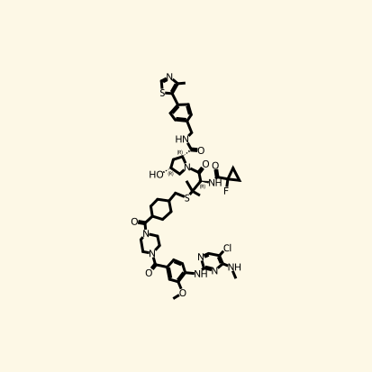 CNc1nc(Nc2ccc(C(=O)N3CCN(C(=O)C4CCC(CSC(C)(C)[C@H](NC(=O)C5(F)CC5)C(=O)N5C[C@H](O)C[C@@H]5C(=O)NCc5ccc(-c6scnc6C)cc5)CC4)CC3)cc2OC)ncc1Cl